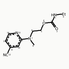 CCNC(=O)OCCN(C)c1cc(C#N)ccn1